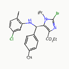 CCOC(=O)c1nc(Br)n(C(C)C)c1C(Nc1cc(Cl)ccc1C)c1ccc(C#N)cc1